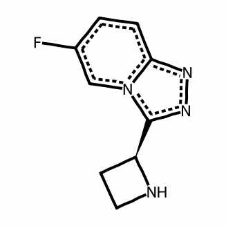 Fc1ccc2nnc([C@@H]3CCN3)n2c1